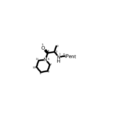 CCCC(C)NC(C)C(=O)N1CCCCC1